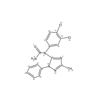 Cc1nc(N(C(N)=O)c2ccc(Cl)c(Cl)c2)n(-c2ccccc2)n1